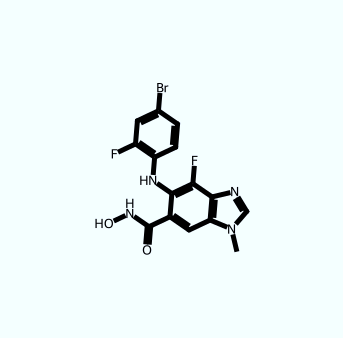 Cn1cnc2c(F)c(Nc3ccc(Br)cc3F)c(C(=O)NO)cc21